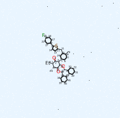 CC[C@H]1C(=O)C(c2ccc(C)c(Cc3ccc(-c4ccc(F)cc4)s3)c2)[C@H](OCc2ccccc2)[C@@H](OCc2ccccc2)[C@@H]1C